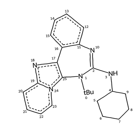 CC(C)(C)N1C(NC2CCCCC2)=Nc2ccccc2-c2nc3ccccn3c21